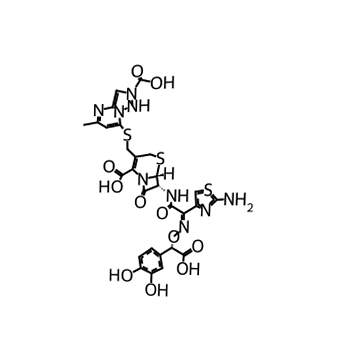 CC1=NC2=CN(C(=O)O)NN2C(SCC2=C(C(=O)O)N3C(=O)[C@@H](NC(=O)/C(=N\O[C@H](C(=O)O)c4ccc(O)c(O)c4)c4csc(N)n4)[C@H]3SC2)=C1